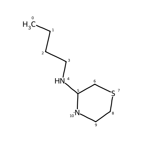 CCCCNC1CSCC[N]1